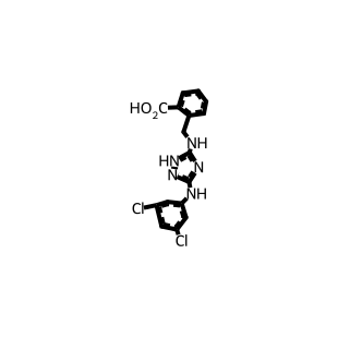 O=C(O)c1ccccc1CNc1nc(Nc2cc(Cl)cc(Cl)c2)n[nH]1